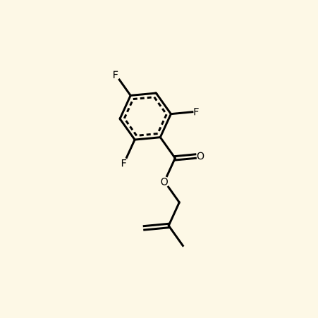 C=C(C)COC(=O)c1c(F)cc(F)cc1F